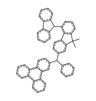 CC1(C)c2cc(N(c3ccccc3)c3ccc4c5ccccc5c5ccccc5c4c3)ccc2-c2c(C3c4ccccc4-c4ccccc43)cccc21